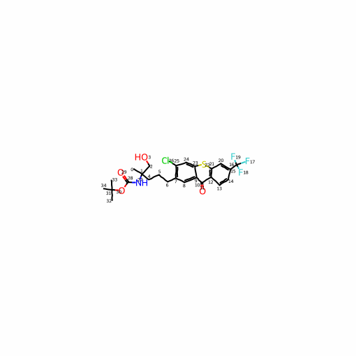 CC(CO)(CCCc1cc2c(=O)c3ccc(C(F)(F)F)cc3sc2cc1Cl)NC(=O)OC(C)(C)C